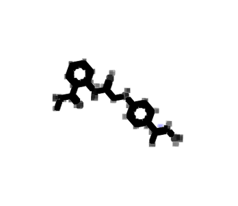 CNC(=O)c1ccccc1NC(=O)COc1ccc(/C(C)=N/O)cc1